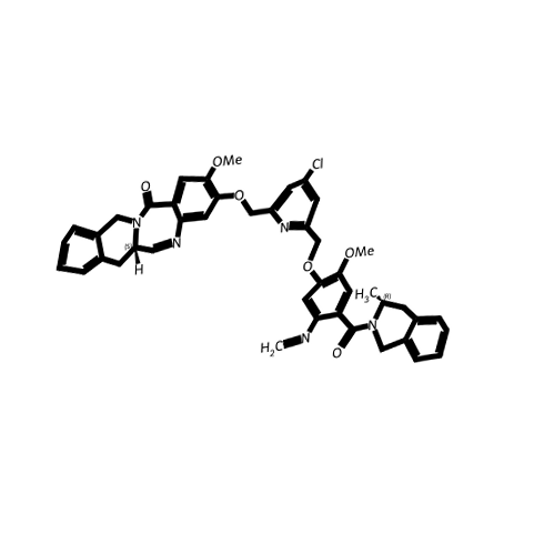 C=Nc1cc(OCc2cc(Cl)cc(COc3cc4c(cc3OC)C(=O)N3Cc5ccccc5C[C@H]3C=N4)n2)c(OC)cc1C(=O)N1Cc2ccccc2C[C@H]1C